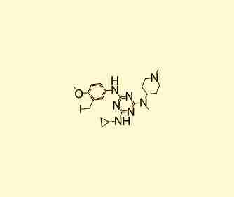 COc1ccc(Nc2nc(NC3CC3)nc(N(C)C3CCN(C)CC3)n2)cc1CI